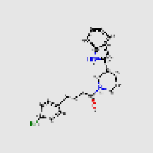 O=C(CCCc1ccc(Br)cc1)N1CCCC(c2cc3ccccc3[nH]2)C1